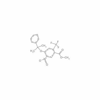 COC(=O)c1cc([N+](=O)[O-])c(OC(C)(C)c2ccccc2)cc1C(F)(F)F